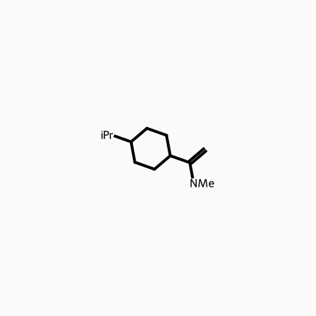 C=C(NC)C1CCC(C(C)C)CC1